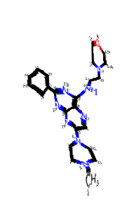 CN1CCN(c2cnc3c(NCCN4CCOCC4)nc(-c4ccccc4)nc3n2)CC1